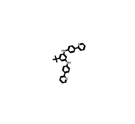 CC(C)(C)c1cc(Nc2ccc(-c3ccccn3)cc2)cc(Nc2ccc(-c3ccccn3)cc2)c1